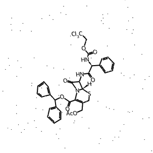 CC(=O)OCC1=C(C(=O)OC(c2ccccc2)c2ccccc2)N2C(=O)C(NC(=O)[C@@H](NC(=O)OCC(Cl)(Cl)Cl)c3ccccc3)[C@@H]2SC1